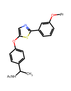 CC(=O)NC(C)c1ccc(Oc2cnc(-c3cccc(OC(C)C)c3)s2)cc1